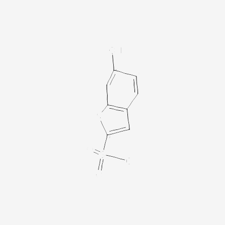 O=S(=O)(Cl)c1cc2ccc(O)cc2s1